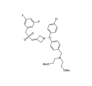 COCCN(CCOC)Cc1ccc([C@@H](c2ccc(Cl)cc2)N2CC(=CS(=O)(=O)Cc3cc(F)cc(F)c3)C2)cc1